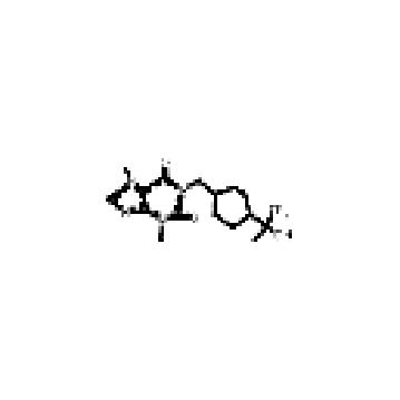 Cn1cnc2c1c(=O)n(CC1CCC(C(C)(O)C(F)(F)F)CC1)c(=O)n2C